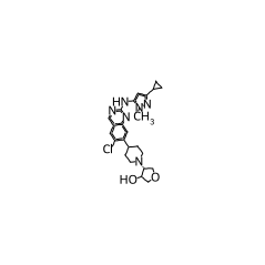 Cn1nc(C2CC2)cc1Nc1ncc2cc(Cl)c(C3CCN([C@@H]4COCC4O)CC3)cc2n1